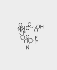 Cn1c(Cc2ccc(Cl)c(Oc3cc(C#N)cc(C(F)F)c3)c2F)nn(COC(=O)CCC(=O)O)c1=O